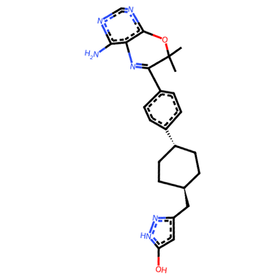 CC1(C)Oc2ncnc(N)c2N=C1c1ccc([C@H]2CC[C@H](Cc3cc(O)[nH]n3)CC2)cc1